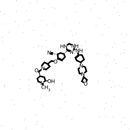 CN1CC[C@@H](C(=O)N2CCC(COC3=CC[C@@H](C4=N[C@@H](NC5=CC[C@H](N6CCN(C7COC7)CC6)CC5)NCN4)C[C@H]3C#N)CC2)C[C@H]1O